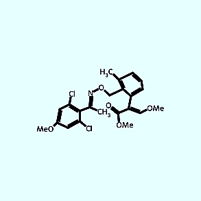 CO/C=C(/C(=O)OC)c1cccc(C)c1CO/N=C(\C)c1c(Cl)cc(OC)cc1Cl